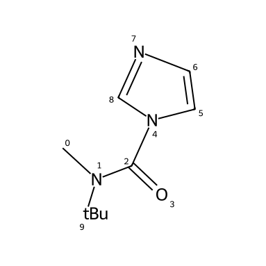 CN(C(=O)n1ccnc1)C(C)(C)C